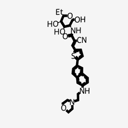 CC[C@H]1OC(O)[C@H](NC(=O)/C(C#N)=C/c2ccc(-c3ccc4cc(NCCN5CCOCC5)ccc4c3)s2)[C@@H](O)[C@@H]1O